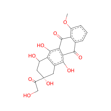 COc1cccc2c1C(=O)c1c(O)c3c(c(O)c1C2=O)C[C@@](O)(C(=O)CO)CC3O